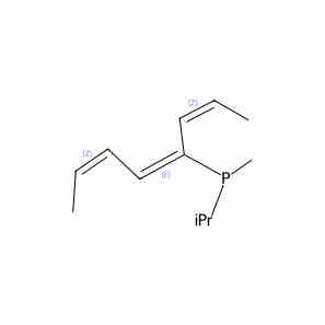 C\C=C/C=C(\C=C/C)P(C)C(C)C